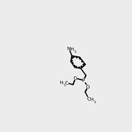 CCOP(Cc1ccc(N)cc1)OCC